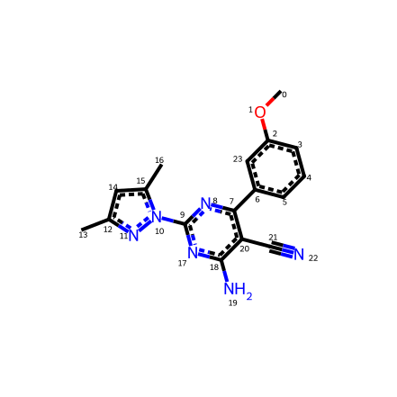 COc1cccc(-c2nc(-n3nc(C)cc3C)nc(N)c2C#N)c1